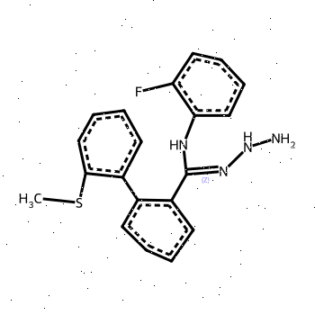 CSc1ccccc1-c1ccccc1/C(=N/NN)Nc1ccccc1F